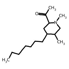 CCCCCCCC1CC(C(C)=O)N(C)CC1C